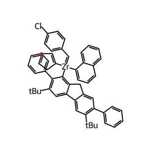 CC(C)(C)c1cc2c(cc1-c1ccccc1)Cc1c-2cc(C(C)(C)C)c(-c2ccccc2)[c]1[Zr](=[CH]c1ccc(Cl)cc1)([C]1=CC=CC1)[c]1cccc2ccccc12